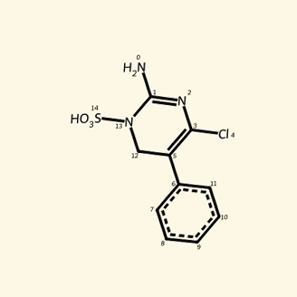 NC1=NC(Cl)=C(c2ccccc2)CN1S(=O)(=O)O